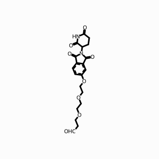 O=CCCOCCOCCOc1ccc2c(c1)C(=O)N(C1CCC(=O)NC1=O)C2=O